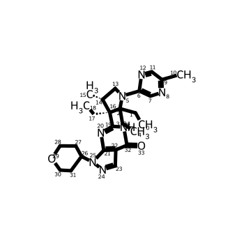 CCC1(CC)N(c2cnc(C)cn2)C[C@@H](C)[C@]1(CC)c1nc2c(cnn2C2CCOCC2)c(=O)[nH]1